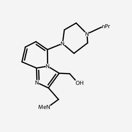 CCCN1CCN(c2cccc3nc(CNC)c(CO)n23)CC1